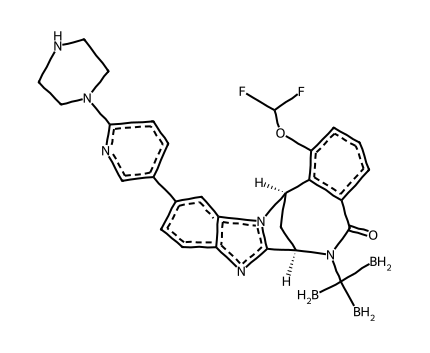 BC(B)(B)N1C(=O)c2cccc(OC(F)F)c2[C@H]2C[C@@H]1c1nc3ccc(-c4ccc(N5CCNCC5)nc4)cc3n12